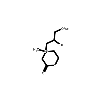 COCC(O)C[N+]1(C)CCOC(=O)C1